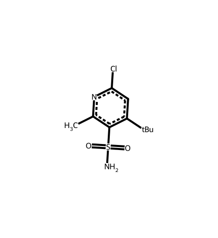 Cc1nc(Cl)cc(C(C)(C)C)c1S(N)(=O)=O